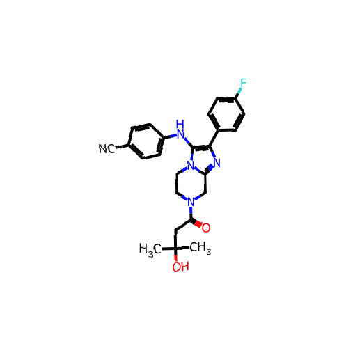 CC(C)(O)CC(=O)N1CCn2c(nc(-c3ccc(F)cc3)c2Nc2ccc(C#N)cc2)C1